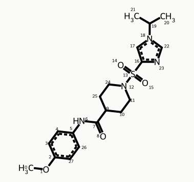 COc1ccc(NC(=O)C2CCN(S(=O)(=O)c3cn(C(C)C)cn3)CC2)cc1